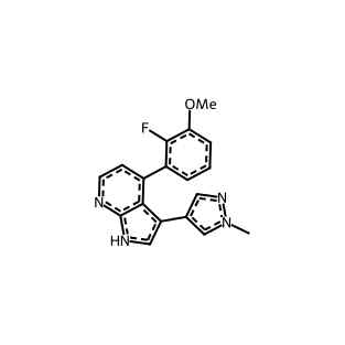 COc1cccc(-c2ccnc3[nH]cc(-c4cnn(C)c4)c23)c1F